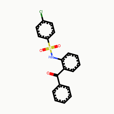 O=C(c1ccccc1)c1ccccc1NS(=O)(=O)c1ccc(Cl)cc1